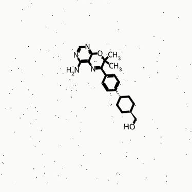 CC1(C)Oc2ncnc(N)c2N=C1c1ccc([C@H]2CC[C@H](CO)CC2)cc1